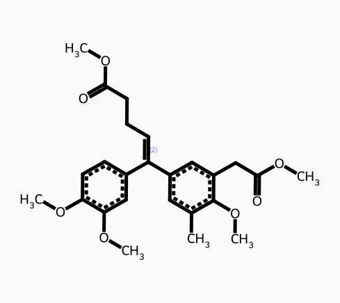 COC(=O)CC/C=C(/c1cc(C)c(OC)c(CC(=O)OC)c1)c1ccc(OC)c(OC)c1